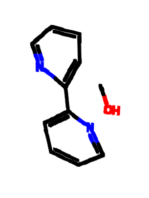 CO.c1ccc(-c2ccccn2)nc1